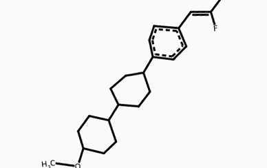 COC1CCC(C2CCC(c3ccc(C=C(F)F)cc3)CC2)CC1